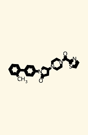 Cc1ccccc1-c1ccc(N2CC(N3CCN(C(=O)c4nccs4)CC3)CC2=O)cc1